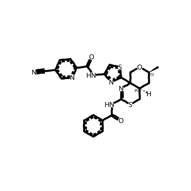 C[C@H]1C[C@H]2CSC(NC(=O)c3ccccc3)=NC2(c2nc(NC(=O)c3ccc(C#N)cn3)cs2)CO1